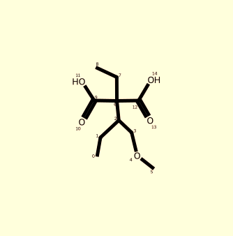 CCC(COC)C(CC)(C(=O)O)C(=O)O